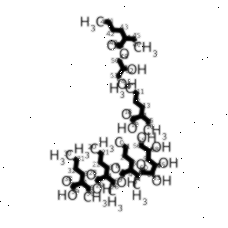 CCCCC(CC)C(=O)O.CCCCC(CC)C(=O)O.CCCCC(CC)C(=O)O.CCCCC(CC)C(=O)O.CCCCC(CC)C(=O)OCC(O)CO.OC[C@@H](O)[C@H]1OC[C@H](O)[C@H]1O